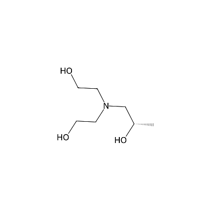 C[C@H](O)CN(CCO)CCO